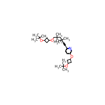 CC(C)(C#Cc1ccc(OC2CC(OC(C)(C)C)C2)cn1)CC(C)(C)COC1CC(OC(C)(C)C)C1